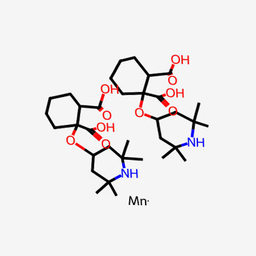 CC1(C)CC(OC2(C(=O)O)CCCCC2C(=O)O)CC(C)(C)N1.CC1(C)CC(OC2(C(=O)O)CCCCC2C(=O)O)CC(C)(C)N1.[Mn]